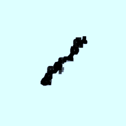 CC(C)c1noc(N2CCC(C3C[C@H]3CCOc3ccc(CC(=O)N4Cc5cccnc5C4)c(F)c3)CC2)n1